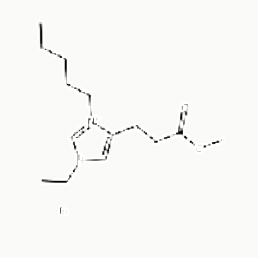 CCCCC[n+]1cn(CC)cc1CCC(=O)OC.[Br-]